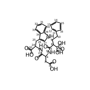 O=C(O)CC(NC(=O)C(CCc1ccccc1)P(=O)(O)O)C(=O)NC(Cc1c[nH]c2ccccc12)C(=O)O